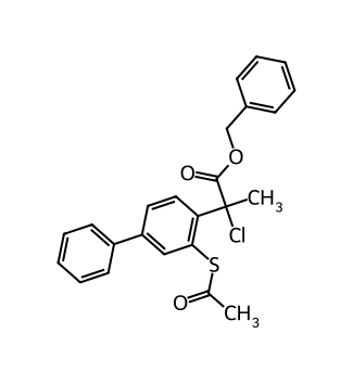 CC(=O)Sc1cc(-c2ccccc2)ccc1C(C)(Cl)C(=O)OCc1ccccc1